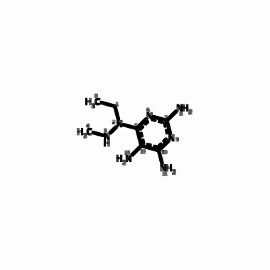 CCN(NC)c1nc(N)nc(N)c1N